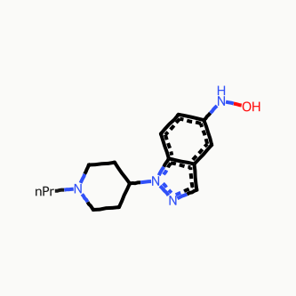 CCCN1CCC(n2ncc3cc(NO)ccc32)CC1